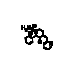 NS(=O)(=O)N1CC/C(=C/c2ccccn2)C(=O)C1c1ccccc1